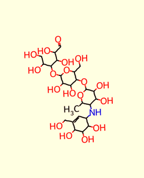 CC1OC(OC2C(CO)OC(OC(C(O)CO)C(O)C(O)C=O)C(O)C2O)C(O)C(O)C1NC1C=C(CO)C(O)C(O)C1O